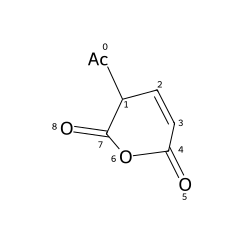 CC(=O)C1C=CC(=O)OC1=O